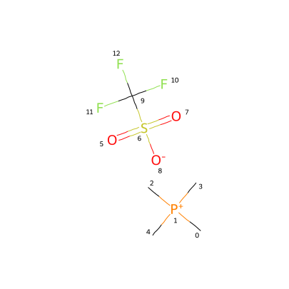 C[P+](C)(C)C.O=S(=O)([O-])C(F)(F)F